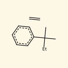 C=C.CCC(C)(C)c1ccccc1